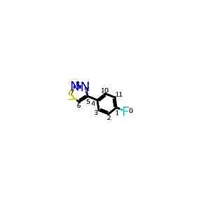 Fc1ccc(-c2csnn2)cc1